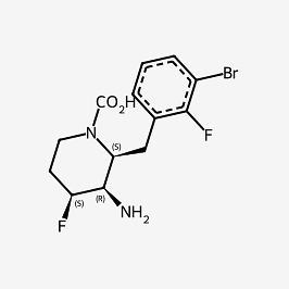 N[C@H]1[C@@H](F)CCN(C(=O)O)[C@H]1Cc1cccc(Br)c1F